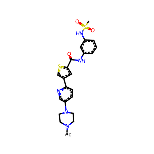 CC(=O)N1CCN(c2ccc(-c3csc(C(=O)Nc4cccc(NS(C)(=O)=O)c4)c3)nc2)CC1